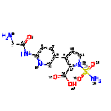 NCC(=O)Nc1ccc(-c2ccn(S(N)(=O)=O)c2C(=O)O)cn1